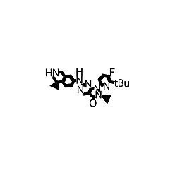 CC(C)(C)c1nc(-n2c3nc(Nc4ccc5c(c4)CNCC54CC4)ncc3c(=O)n2C2CC2)ccc1F